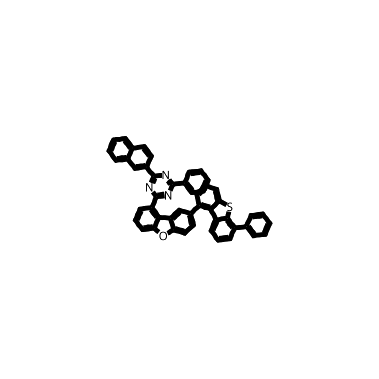 c1ccc(-c2nc(-c3ccc4ccccc4c3)nc(-c3cccc4oc5ccc(-c6cccc7sc8c(-c9ccccc9)cccc8c67)cc5c34)n2)cc1